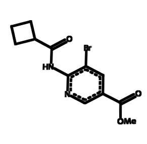 COC(=O)c1cnc(NC(=O)C2CCC2)c(Br)c1